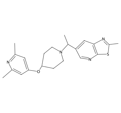 Cc1cc(OC2CCN(C(C)c3cnc4sc(C)nc4c3)CC2)cc(C)n1